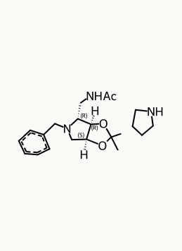 C1CCNC1.CC(=O)NC[C@@H]1[C@H]2OC(C)(C)O[C@H]2CN1Cc1ccccc1